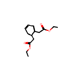 CCOC(=O)CC1CC=CCC1CC(=O)OCC